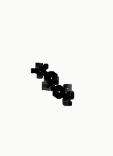 COC(=O)c1ccc(Nc2nccc(-c3sc(C)nc3C)n2)cc1Cl